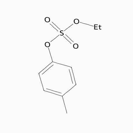 CCOS(=O)(=O)Oc1ccc(C)cc1